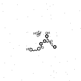 O=C(COCc1ccccc1)N(CCc1ccc(O)cc1)Cc1cccc(-c2cccc(C(=O)N3CCC(CCCC4CCNCC4)CC3)c2)c1.O=C(O)C(F)(F)F